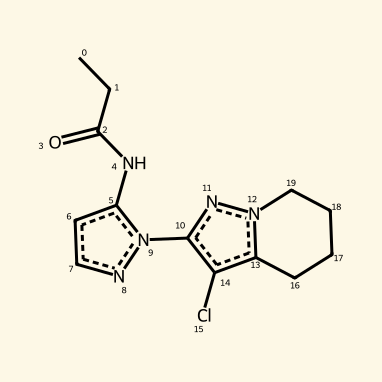 CCC(=O)Nc1ccnn1-c1nn2c(c1Cl)CCCC2